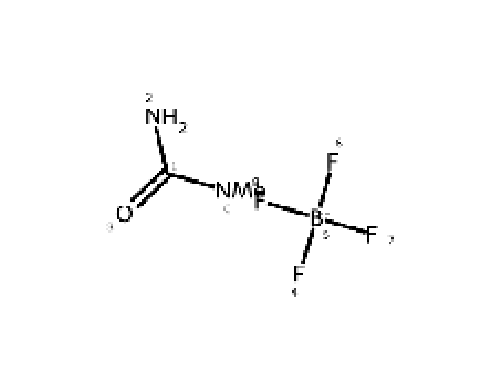 CNC(N)=O.F[B-](F)(F)F